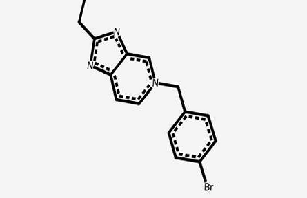 CCc1nc2ccn(Cc3ccc(Br)cc3)cc-2n1